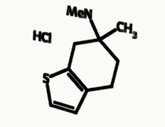 CNC1(C)CCc2ccsc2C1.Cl